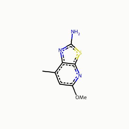 COc1cc(C)c2nc(N)sc2n1